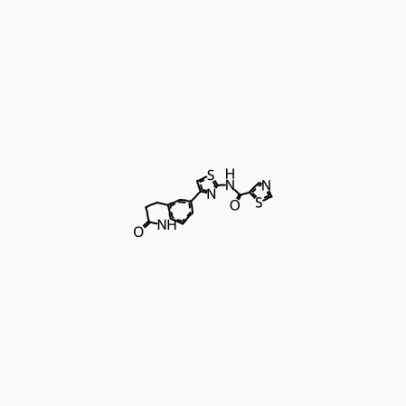 O=C1CCc2cc(-c3csc(NC(=O)c4cncs4)n3)ccc2N1